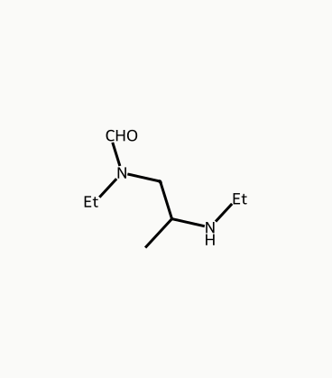 CCNC(C)CN(C=O)CC